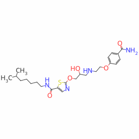 CC(C)CCCCCNC(=O)c1cnc(OCC(O)CNCCOc2ccc(C(N)=O)cc2)s1